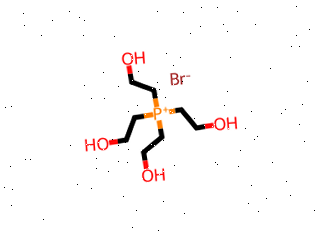 OCC[P+](CCO)(CCO)CCO.[Br-]